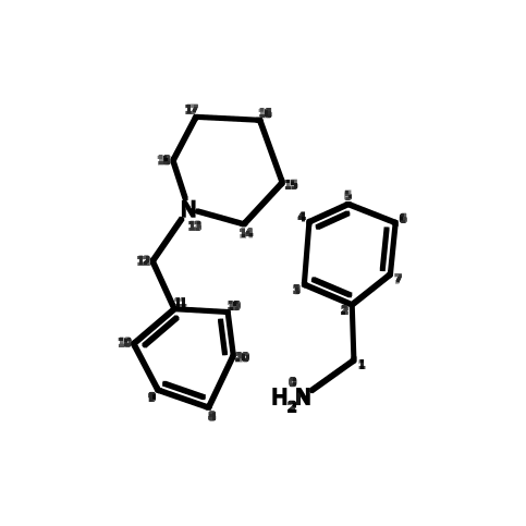 NCc1ccccc1.c1ccc(CN2CCCCC2)cc1